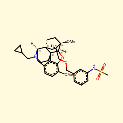 COc1ccc2c3c1O[C@H]1[C@@]4(OC)CC[C@@]5(C[C@@H]4COCc4cccc(NS(C)(=O)=O)c4)[C@@H](C2)N(CC2CC2)CC[C@]315